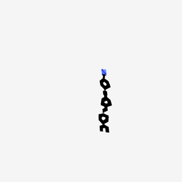 C=CC(CC)[C@H]1CC[C@H](CCc2ccc(C#C[C@H]3CC[C@H](C#N)CC3)cc2)CC1